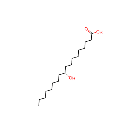 CCCCCCCC[C@@H](O)CCCCCCCCC(=O)O